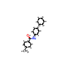 Cc1ccc(C(=O)Nc2ccc(-c3ccccc3)cc2)cc1